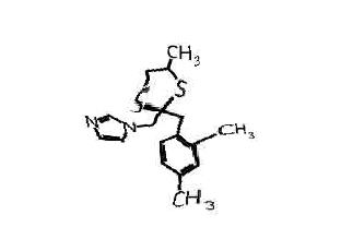 Cc1ccc(CC2(Cn3ccnc3)SCC(C)S2)c(C)c1